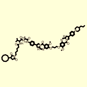 CCCC1CCN(c2ccc(C3=CN4C(=O)c5cc(OC)c(OCCCOc6cc7c(cc6OC)C(=O)N6C=C(c8ccc(NC(=O)[C@H](C)NC(=O)C(NC(=O)CCCCCN9C(=O)CC(C%10CCCCCCCC%10)C9=O)C(C)C)cc8)C[C@H]6C=N7)cc5N=C[C@@H]4C3)cc2)CC1